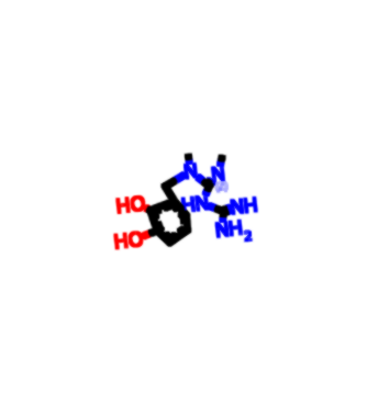 C/N=C(/NC(=N)N)N(C)Cc1cccc(O)c1O